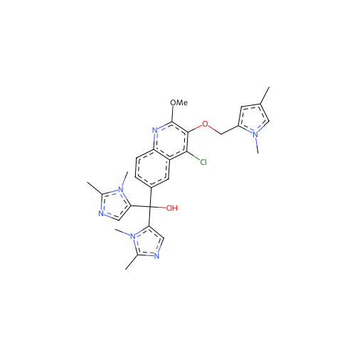 COc1nc2ccc(C(O)(c3cnc(C)n3C)c3cnc(C)n3C)cc2c(Cl)c1OCc1cc(C)cn1C